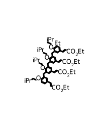 CCOC(=O)/C=C/c1ccc(OCCC(C)C)c(Cc2cc(/C=C/C(=O)OCC)cc(Cc3cc(/C=C/C(=O)OCC)cc(Cc4cc(/C=C/C(=O)OCC)cc(CC)c4OCCC(C)C)c3OCCC(C)C)c2OCCC(C)C)c1